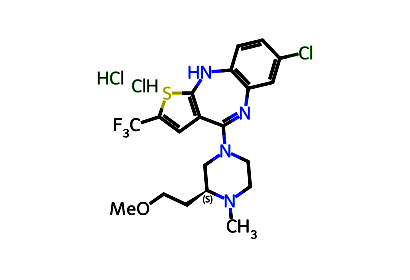 COCC[C@H]1CN(C2=Nc3cc(Cl)ccc3Nc3sc(C(F)(F)F)cc32)CCN1C.Cl.Cl